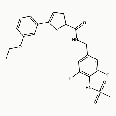 CCOc1cccc(C2=CCC(C(=O)NCc3cc(F)c(NS(C)(=O)=O)c(F)c3)S2)c1